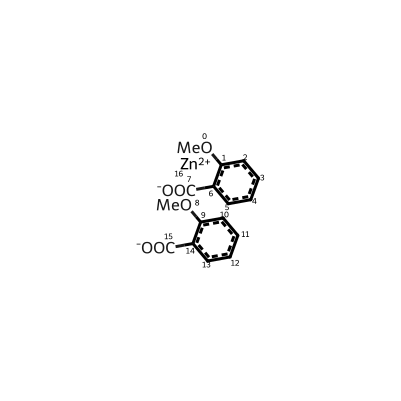 COc1ccccc1C(=O)[O-].COc1ccccc1C(=O)[O-].[Zn+2]